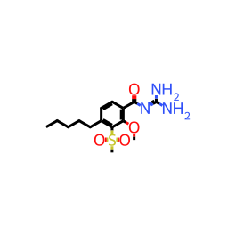 CCCCCc1ccc(C(=O)N=C(N)N)c(OC)c1S(C)(=O)=O